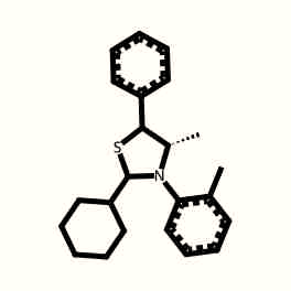 Cc1ccccc1N1C(C2CCCCC2)SC(c2ccccc2)[C@@H]1C